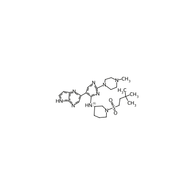 CN1CCN(c2ncc(-c3cnc4[nH]ccc4n3)c(N[C@H]3CCCN(S(=O)(=O)CCC(C)(C)C)C3)n2)CC1